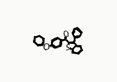 O=C(c1ccc(OC2CCCCC2)cc1)c1sc2ccccc2c1-c1ccccc1